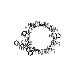 CC[C@H](C)[C@@H]1NC(=O)[C@@H](C)N(C)C(=O)C[C@@H](C(=O)N(C)[C@@H](Cc2ccccc2)C(=O)N[C@@H](C)C(=O)N2CCCCC2)NC(=O)[C@H](Cc2ccccc2)N(C)C(=O)CN(C)C(=O)[C@H]([C@@H](C)O)NC(=O)[C@H](C)N(C)C(=O)[C@H](C(C)C)N(C)C(=O)[C@H](Cc2ccccc2)NC(=O)[C@H](CC(C)C)N(C)C(=O)[C@H](CC(C)C)N(C)C1=O